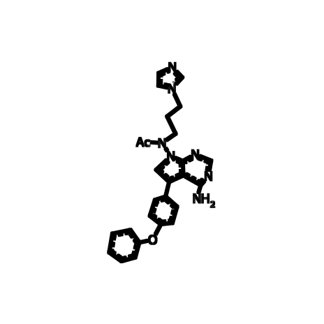 CC(=O)N(CCCn1ccnc1)n1cc(-c2ccc(Oc3ccccc3)cc2)c2c(N)ncnc21